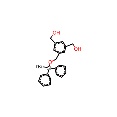 CC(C)(C)[Si](OCc1cc(CO)cc(CO)c1)(c1ccccc1)c1ccccc1